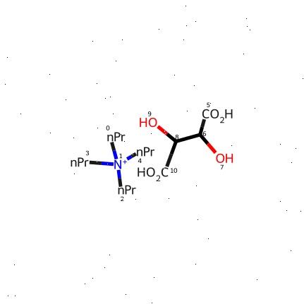 CCC[N+](CCC)(CCC)CCC.O=C(O)C(O)C(O)C(=O)O